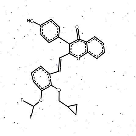 N#Cc1ccc(-c2c(/C=C/c3cccc(OC(F)F)c3OCC3CC3)oc3ccccc3c2=O)cc1